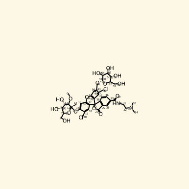 COC1[C@@H](O)[C@@H](O)C(CO)O[C@@]1(C)Oc1cc2c(cc1Cl)C1(OC(=O)c3cc(C(=O)NCCN(C)C)ccc31)c1cc(Cl)c(O[C@H]3OC(CO)[C@@H](O)[C@@H](O)C3O)cc1O2